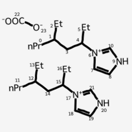 CCCC(CC)CC(CC)[n+]1cc[nH]c1.CCCC(CC)CC(CC)[n+]1cc[nH]c1.O=C([O-])[O-]